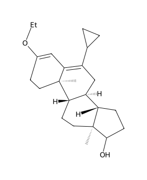 CCOC1=CC2=C(C3CC3)C[C@@H]3[C@H](CC[C@]4(C)C(O)CC[C@@H]34)[C@@]2(C)CC1